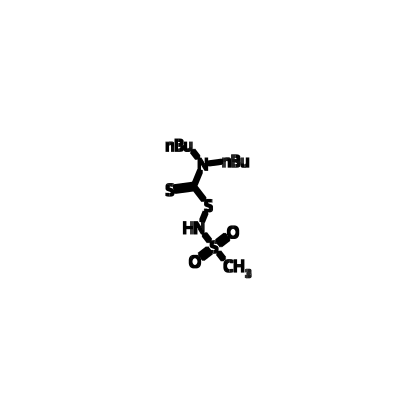 CCCCN(CCCC)C(=S)SNS(C)(=O)=O